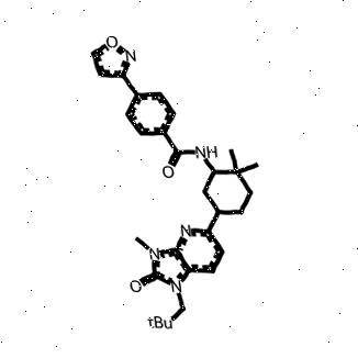 Cn1c(=O)n(CC(C)(C)C)c2ccc(C3CCC(C)(C)C(NC(=O)c4ccc(-c5ccon5)cc4)C3)nc21